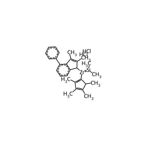 CC1=C(C)C(C)[C]([Zr]([CH]2C(C)=C(C)c3c(-c4ccccc4)cccc32)=[Si](C)C)=C1C.Cl.Cl